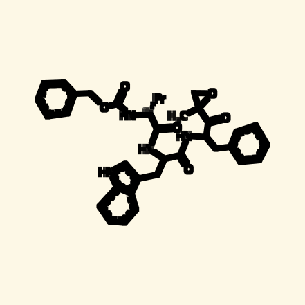 CC(C)[C@@H](NC(=O)OCc1ccccc1)C(=O)NC(Cc1c[nH]c2ccccc12)C(=O)NC(Cc1ccccc1)C(=O)C1(C)CO1